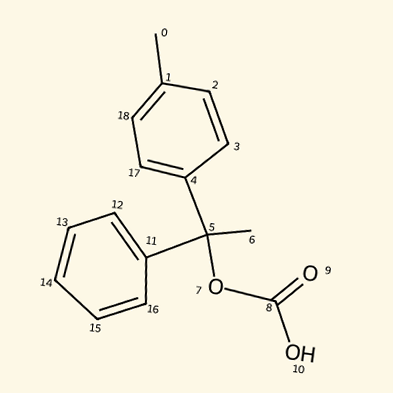 Cc1ccc(C(C)(OC(=O)O)c2ccccc2)cc1